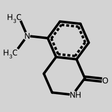 CN(C)c1cccc2c1CCNC2=O